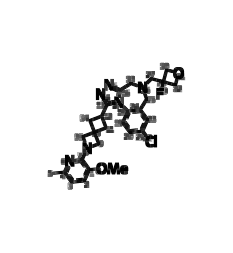 COc1ccc(C)nc1N1CC2(CC(c3nnc4n3-c3ccc(Cl)cc3CN(CC3(F)COC3)C4)C2)C1